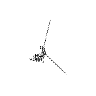 CCCCCCCCCCCCCCCCCCCCC(=O)OC[C@H](COP(=O)(O)OC[C@H](N)C(=O)O)OC(=O)CCCCCCCCCCCCCCCCCCCC